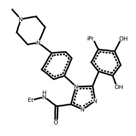 CCNC(=O)c1nnc(-c2cc(C(C)C)c(O)cc2O)n1-c1ccc(N2CCN(C)CC2)cc1